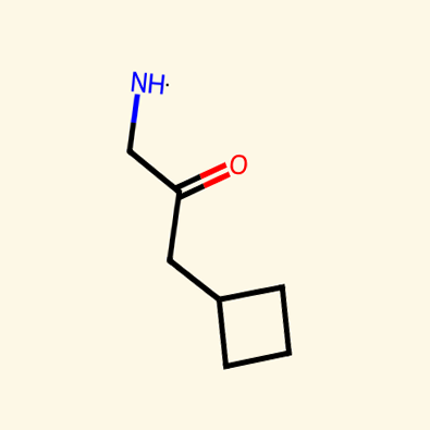 [NH]CC(=O)CC1CCC1